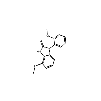 COc1ccccc1-n1c(=O)[nH]c2c(OC)cccc21